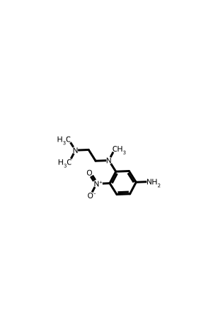 CN(C)CCN(C)c1cc(N)ccc1[N+](=O)[O-]